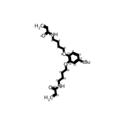 C=CC(=O)NCCCCOc1ccc(C(C)(C)C)cc1OCCCCNC(=O)C=C